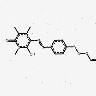 C=COOSc1ccc(N=Nc2c(C)c(C)c(=O)n(C)c2O)cc1